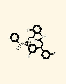 O=C(CC(c1cccc(F)c1)c1cccc(F)c1)Nc1cccc(F)c1CC[C@H]1CN1[S+]([O-])c1ccccc1